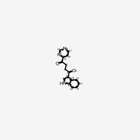 O=C(CCC(=O)c1c[nH]c2ccccc12)c1ccncn1